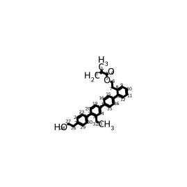 C=C(C)C(=O)OCCc1ccccc1-c1ccc(-c2ccc(-c3ccc(CCO)cc3)c(CC)c2)cc1